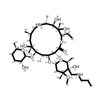 CCCNC[C@]1(O)[C@H](C)O[C@@H](O[C@H]2[C@H](C)[C@@H](O[C@@H]3O[C@H](C)CC[C@H]3O)[C@](C)(O)C[C@@H](C)CN[C@H](C)[C@@H](O)[C@](C)(O)[C@@H](CC)OC(=O)[C@@H]2C)C[C@@]1(C)OC